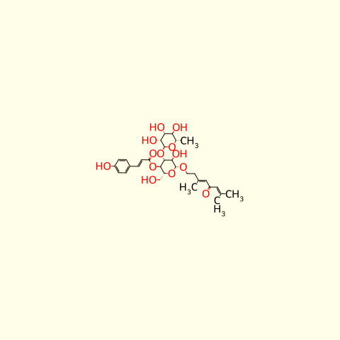 CC(C)=CC(=O)/C=C(\C)CCO[C@@H]1O[C@H](CO)[C@@H](OC(=O)/C=C/c2ccc(O)cc2)[C@H](O[C@@H]2O[C@@H](C)[C@H](O)[C@@H](O)[C@H]2O)[C@H]1O